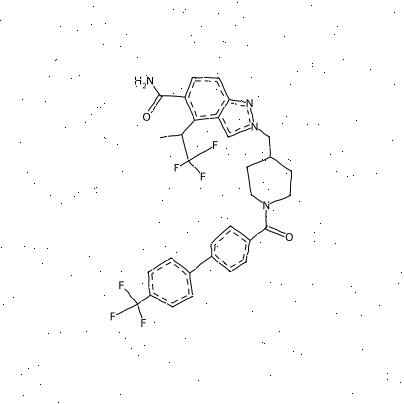 CC(c1c(C(N)=O)ccc2nn(CC3CCN(C(=O)c4ccc(-c5ccc(C(F)(F)F)cc5)cc4)CC3)cc12)C(F)(F)F